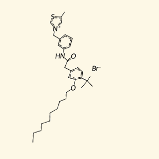 CCCCCCCCCCOc1cc(CC(=O)Nc2cccc(C[n+]3csc(C)c3)c2)ccc1C(C)(C)C.[Br-]